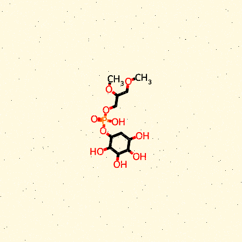 COCC(COP(=O)(O)OC1CC(O)C(O)C(O)C1O)OC